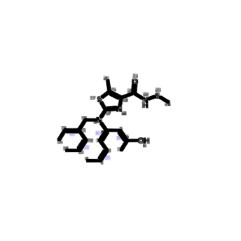 C\C=C/C=C(\C=C(/C)O)N(CC(/C=C\C)=C/C)c1nc(C(=O)NSC)c(C)s1